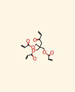 C=CC(=O)CC(COC(=O)C=C)(COC(=O)C=C)COC(=O)C=C